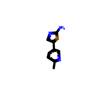 Cc1ccc(-c2cnc(N)s2)cn1